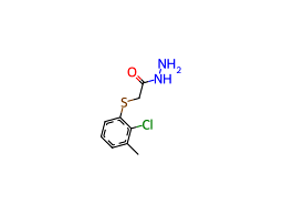 Cc1cccc(SCC(=O)NN)c1Cl